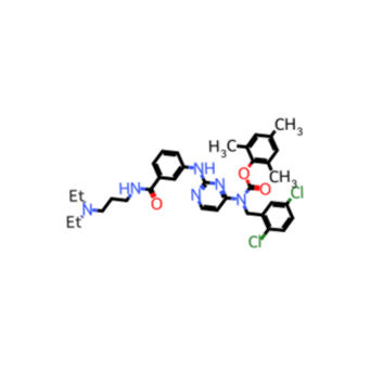 CCN(CC)CCCNC(=O)c1cccc(Nc2nccc(N(Cc3cc(Cl)ccc3Cl)C(=O)Oc3c(C)cc(C)cc3C)n2)c1